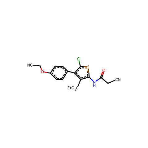 CCOC(=O)c1c(NC(=O)CC#N)sc(Cl)c1-c1ccc(OCC#N)cc1